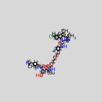 Cc1ncsc1-c1ccc(CNC(=O)[C@@H]2C[C@@H](O)CN2C(=O)[C@@H](NC(=O)COCCCOCCOc2cc(NC(=O)C[C@@H]3N=C(c4ccc(Cl)cc4)c4c(sc(C)c4C)-n4c(C)nnc43)ccc2F)C(C)(C)C)cc1